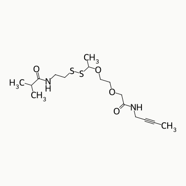 CC#CCNC(=O)COCCOC(C)SSCCNC(=O)C(C)C